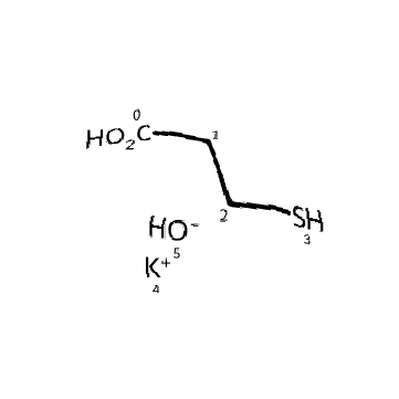 O=C(O)CCS.[K+].[OH-]